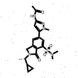 CC(=O)Nc1cc(-c2cc3c(c(S(=O)(=O)N(C)C)c2)C(=O)N([C@@H](C)C2CC2)C3)n(C)n1